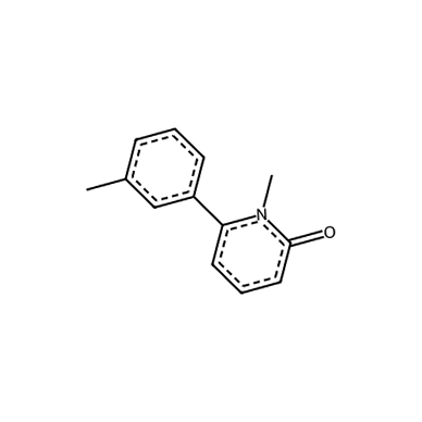 Cc1cccc(-c2cccc(=O)n2C)c1